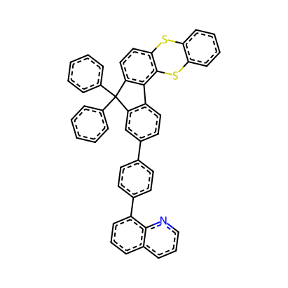 c1ccc(C2(c3ccccc3)c3cc(-c4ccc(-c5cccc6cccnc56)cc4)ccc3-c3c2ccc2c3Sc3ccccc3S2)cc1